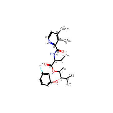 CCC(CC)[C@H](Oc1cccc(F)c1)[C@H](C)OC(=O)[C@H](CC(C)C)NC(=O)c1nccc(OC)c1OC(C)=O